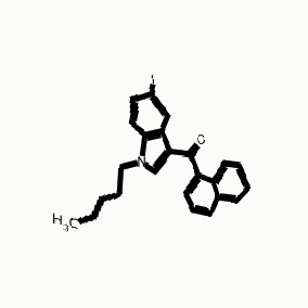 CCCCCn1cc(C(=O)c2cccc3ccccc23)c2cc(I)ccc21